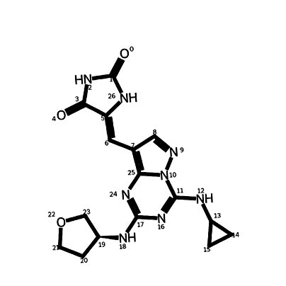 O=C1NC(=O)/C(=C/c2cnn3c(NC4CC4)nc(N[C@H]4CCOC4)nc23)N1